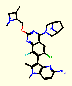 Cc1c(-c2c(Cl)cc3c(N4CC5CCC(C4)N5)nc(OC[C@@H]4[C@H](C)CN4C)nc3c2F)c2nc(N)ccc2n1C